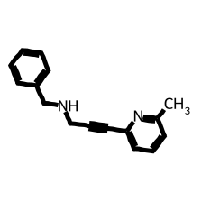 Cc1cccc(C#CCNCc2ccccc2)n1